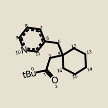 CC(C)(C)C(=O)CC1(Cc2cccnc2)CCCCC1